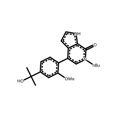 CCCCn1cc(-c2ccc(C(C)(C)O)cc2OC)c2cc[nH]c2c1=O